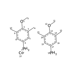 COc1c(C)cc(P)cc1C.COc1c(C)cc(P)cc1C.[Co]